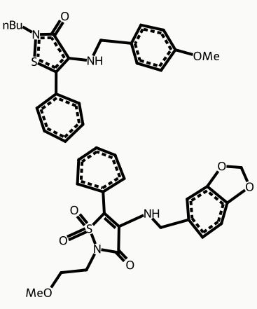 CCCCn1sc(-c2ccccc2)c(NCc2ccc(OC)cc2)c1=O.COCCN1C(=O)C(NCc2ccc3c(c2)OCO3)=C(c2ccccc2)S1(=O)=O